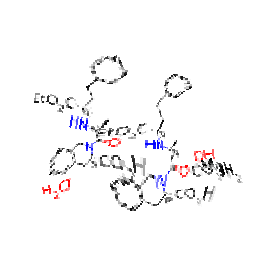 CCOC(=O)[C@H](CCc1ccccc1)N[C@@H](C)C(=O)N1Cc2ccccc2C[C@H]1C(=O)O.CCOC(=O)[C@H](CCc1ccccc1)N[C@@H](C)C(=O)N1Cc2ccccc2C[C@H]1C(=O)O.O.O=C(O)O.[MgH2]